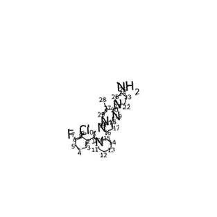 C=C(c1cccc(F)c1Cl)N1CCCC[C@H]1c1cc2nc(N3CC[C@H](N)C3)c(C)cn2n1